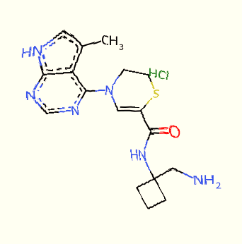 Cc1c[nH]c2ncnc(N3C=C(C(=O)NC4(CN)CCC4)SCC3)c12.Cl